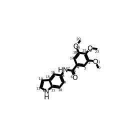 COc1cc(C(=O)Nc2ccc3[nH]ccc3c2)cc(OC)c1OC